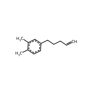 [CH]=CCCCc1ccc(C)c(C)c1